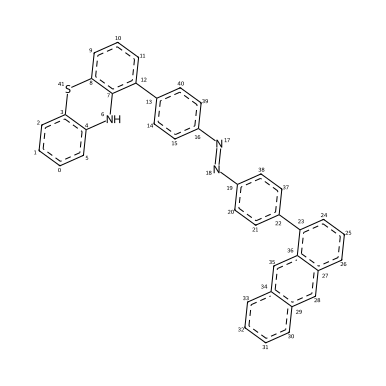 c1ccc2c(c1)Nc1c(cccc1-c1ccc(N=Nc3ccc(-c4cccc5cc6ccccc6cc45)cc3)cc1)S2